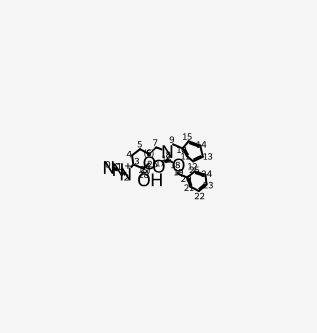 [N-]=[N+]=NC1CC[C@@H](CN(Cc2ccccc2)C(=O)OCc2ccccc2)O[C@@H]1O